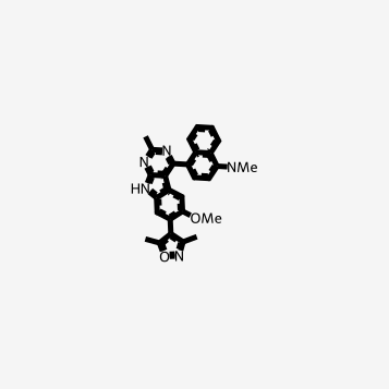 CNc1ccc(-c2nc(C)nc3[nH]c4cc(-c5c(C)noc5C)c(OC)cc4c23)c2ccccc12